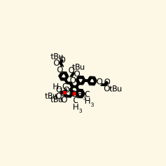 C/C=C(OCC(=O)OC(C)(C)C)\C(=C/C(C)c1ccc(OCC(=O)OC(C)(C)C)cc1)C(c1cc(-c2ccc(OCC(=O)OC(C)(C)C)cc2)ccc1OCC(=O)OC(C)(C)C)c1cc(C)cc(C)c1OCC(=O)OC(C)(C)C